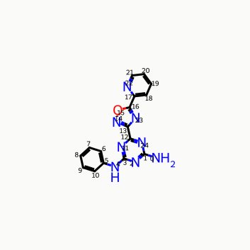 Nc1nc(Nc2ccccc2)nc(-c2noc(-c3ccccn3)n2)n1